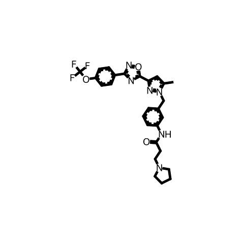 Cc1cc(-c2nc(-c3ccc(OC(F)(F)F)cc3)no2)nn1Cc1cccc(NC(=O)CCN2CCCC2)c1